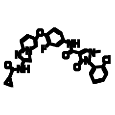 Cn1cc(C(=O)Nc2ccc(Oc3ccc4nc(NC(=O)C5CC5)cn4c3)c(F)c2)c(=O)n1-c1ccccc1Cl